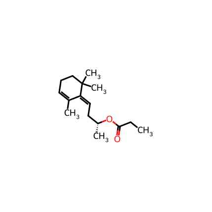 CCC(=O)O[C@H](C)C/C=C1\C(C)=CCCC1(C)C